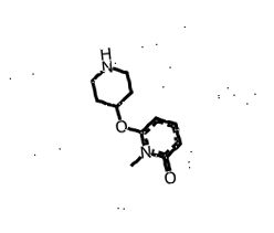 Cn1c(OC2CCNCC2)cccc1=O